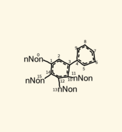 CCCCCCCCCc1cc(-c2ccccc2)c(CCCCCCCCC)c(CCCCCCCCC)c1CCCCCCCCC